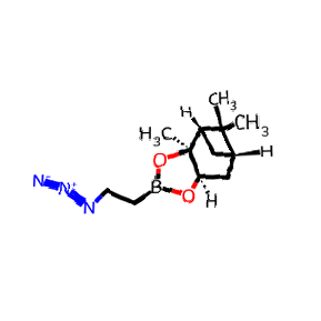 CC1(C)[C@@H]2C[C@H]3OB(CCN=[N+]=[N-])O[C@@]3(C)[C@H]1C2